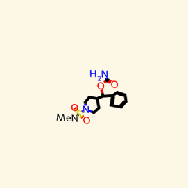 CNS(=O)(=O)N1CCC(C(OC(N)=O)c2ccccc2)CC1